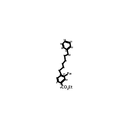 CCOC(=O)c1ccc(CCCCCCc2ccccc2)c(F)c1